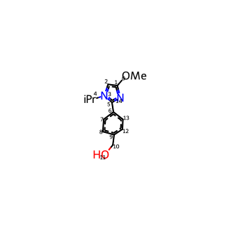 COc1cn(C(C)C)c(-c2ccc(CO)cc2)n1